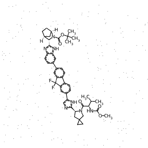 COC(=O)N[C@@H](C(=O)N1CC2(CC2)C[C@H]1c1ncc(-c2ccc3c(c2)C(F)(F)c2cc(-c4ccc5nc([C@@H]6[C@H]7CC[C@H](C7)N6C(=O)OC(C)(C)C)[nH]c5c4)ccc2-3)[nH]1)C(C)C